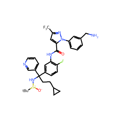 CC(C)(C)[S+]([O-])NC(CCC1CC1)(c1cccnc1)c1ccc(F)c(NC(=O)c2cc(C(F)(F)F)nn2-c2cccc(CN)c2)c1